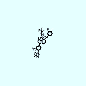 COc1cc(-c2nnc3n2CCCC3(OCc2ccc(F)c(F)c2)C(=O)N(C)CC(F)(F)F)ccc1-c1cnc(C)o1